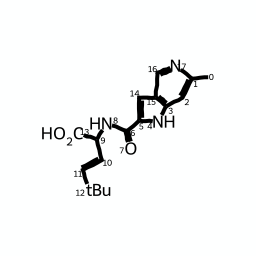 Cc1cc2[nH]c(C(=O)NC(/C=C/C(C)(C)C)C(=O)O)cc2cn1